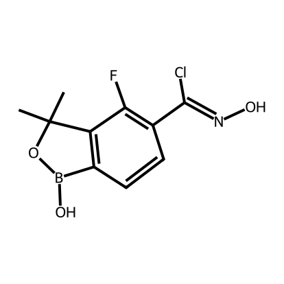 CC1(C)OB(O)c2ccc(C(Cl)=NO)c(F)c21